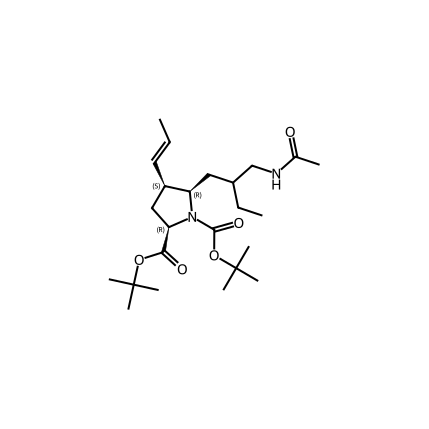 CC=C[C@@H]1C[C@H](C(=O)OC(C)(C)C)N(C(=O)OC(C)(C)C)[C@@H]1CC(CC)CNC(C)=O